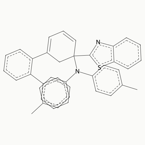 Cc1ccc(N(c2ccc(C)cc2)C2(c3nc4ccccc4s3)C=CC=C(c3ccccc3-c3ccccc3)C2)cc1